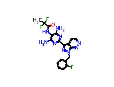 CC(F)(F)C(=O)Nc1c(N)nc(-c2nn(Cc3ccccc3F)c3nnccc23)nc1N